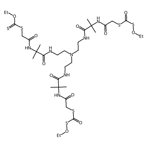 CCOSC(=O)SCC(=O)NC(C)(C)C(=O)NCCN(CCNC(=O)C(C)(C)NC(=O)CSC(=O)SOCC)CCNC(=O)C(C)(C)NC(=O)CSC(=S)OCC